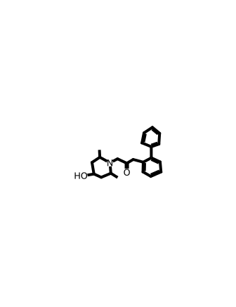 CC1CC(O)CC(C)N1CC(=O)Cc1ccccc1-c1ccccc1